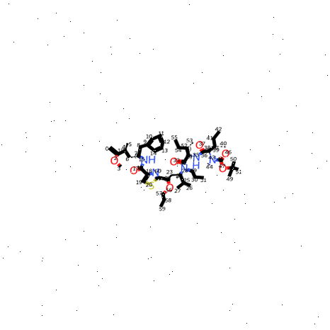 C=C(OC)[C@@H](C)C[C@H](Cc1ccccc1)NC(=O)c1csc([C@@H](C[C@H](C(C)C)N(CCC)C(=O)[C@@H](NC(=O)[C@H]([C@@H](C)CC)N(C)C(=O)OC(C)(C)C)[C@@H](C)CC)OCCC)n1